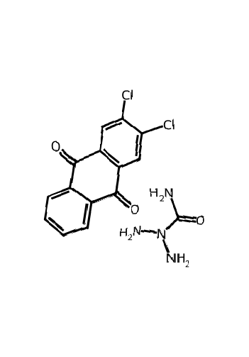 NC(=O)N(N)N.O=C1c2ccccc2C(=O)c2cc(Cl)c(Cl)cc21